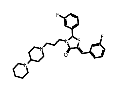 O=C1C(=Cc2cccc(F)c2)SC(c2cccc(F)c2)N1CCCN1CCC(N2CCCCC2)CC1